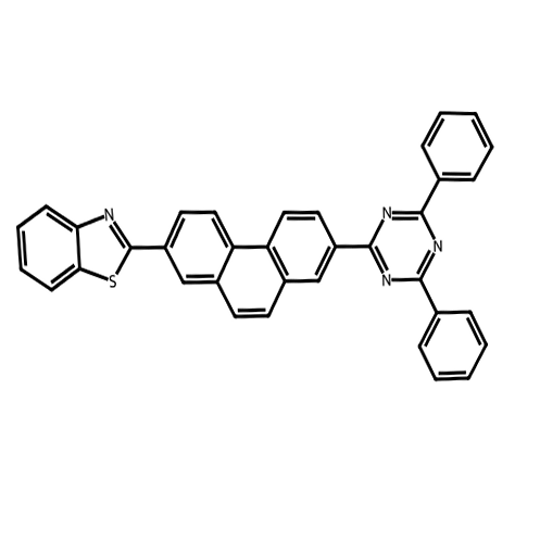 c1ccc(-c2nc(-c3ccccc3)nc(-c3ccc4c(ccc5cc(-c6nc7ccccc7s6)ccc54)c3)n2)cc1